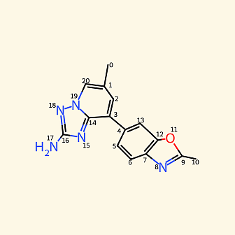 Cc1cc(-c2ccc3nc(C)oc3c2)c2nc(N)nn2c1